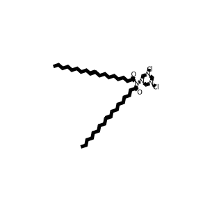 CCCCCCCCC=CCCCCCCCC(=O)N(C(=O)CCCCCCCC=CCCCCCCCC)N1CN(Cl)CN(Cl)C1